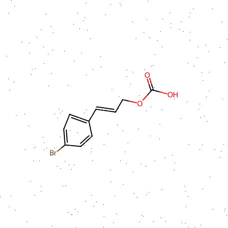 O=C(O)OCC=Cc1ccc(Br)cc1